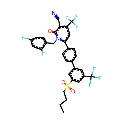 CCCCS(=O)(=O)c1cc(-c2ccc(-c3cc(C(F)(F)F)c(C#N)c(=O)n3Cc3ccc(F)cc3F)cc2)cc(C(F)(F)F)c1